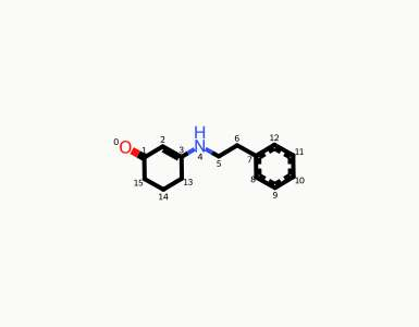 O=C1C=C(NCCc2ccccc2)CCC1